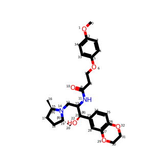 COc1ccc(OCCC(=O)NC(CN2[C@H](C)CC[C@H]2C)[C@H](O)c2ccc3c(c2)OCCO3)cc1